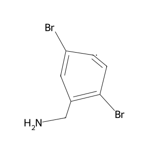 NCc1cc(Br)[c]cc1Br